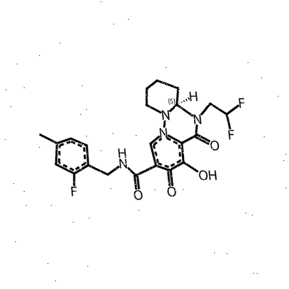 Cc1ccc(CNC(=O)c2cn3c(c(O)c2=O)C(=O)N(CC(F)F)[C@@H]2CCCCN23)c(F)c1